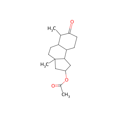 CC(=O)OC1CC2C3CCC(=O)C(C)C3CCC2(C)C1